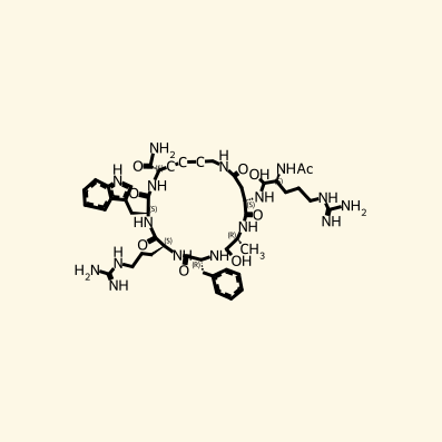 CC(=O)N[C@@H](CCCNC(=N)N)C(O)N[C@H]1CC(=O)NCCCC[C@@H](C(N)=O)NC(=O)[C@H](Cc2c[nH]c3ccccc23)NC(=O)[C@H](CCCNC(=N)N)NC(=O)[C@@H](Cc2ccccc2)NC(O)[C@@H](C)NC1=O